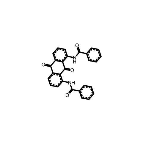 O=C(Nc1cccc2c1C(=O)c1c(NC(=O)c3ccccc3)cccc1C2=O)c1ccccc1